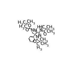 CC(C)(C)OC(=O)NC[C@@]1(c2ccccc2)SC(NC(=O)C(C)(C)C)=NN1C(=O)C(C)(C)C